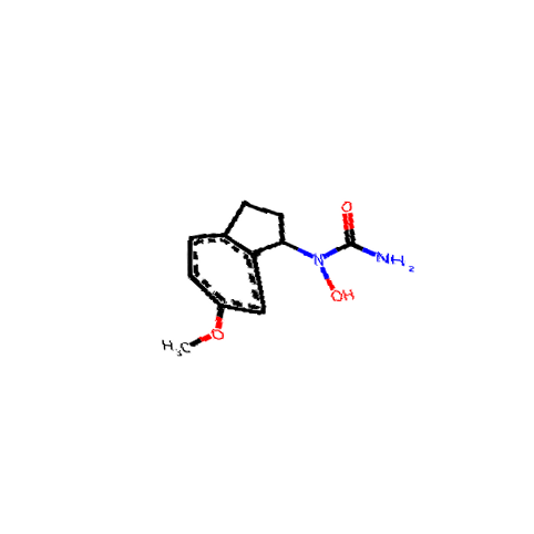 COc1ccc2c(c1)C(N(O)C(N)=O)CC2